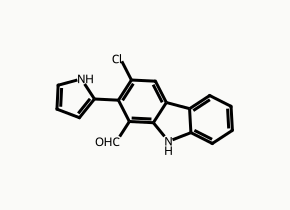 O=Cc1c(-c2ccc[nH]2)c(Cl)cc2c1[nH]c1ccccc12